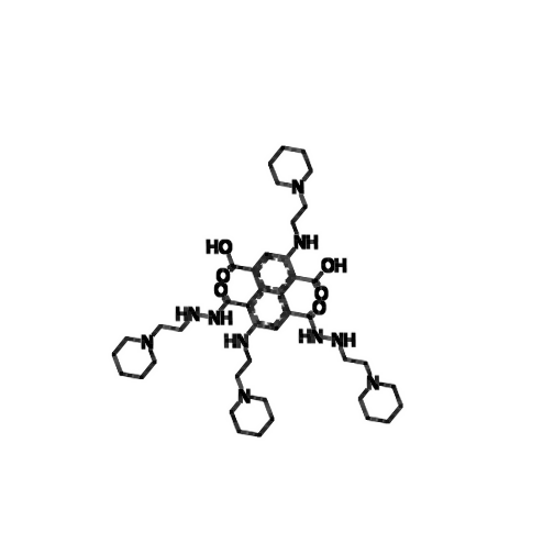 O=C(O)c1cc(NCCN2CCCCC2)c(C(=O)O)c2c(C(=O)NNCCN3CCCCC3)cc(NCCN3CCCCC3)c(C(=O)NNCCN3CCCCC3)c12